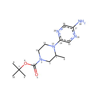 CC1CN(C(=O)OC(C)(C)C)CCN1c1cnc(N)cn1